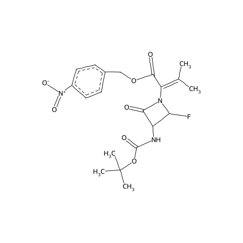 CC(C)=C(C(=O)OCc1ccc([N+](=O)[O-])cc1)N1C(=O)C(NC(=O)OC(C)(C)C)C1F